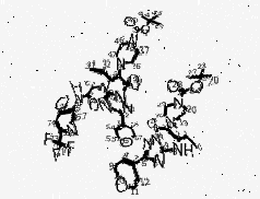 CCc1[nH]c2nc(C3=CCOCC3)nn2c(=O)c1N1CCN(C(=O)OC(C)(C)C)CC1.CCc1c(N2CCN(C(=O)OC(C)(C)C)CC2)c(=O)n2nc(C3=CCOCC3)nc2n1CC(=O)Nc1cnc(C(F)(F)F)cc1Cl